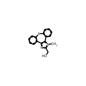 Cn1c(CO)nc2c1-c1ccccc1Sc1ccccc1-2